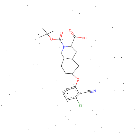 CC(C)(C)OC(=O)N1CC2CCC(Oc3cccc(Cl)c3C#N)CC2CC1C(=O)O